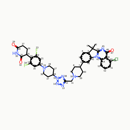 CC1(C)c2ccc(C3CCN(Cc4nnn(C5CCN(c6cc(F)c(C7CCC(=O)NC7=O)c(F)c6)CC5)n4)CC3)cc2-n2c1nc(=O)c1c(Cl)cccc12